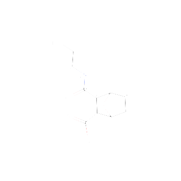 CCCNC(=O)C1C2CCC(O2)C1C(=O)O